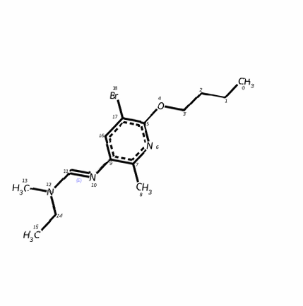 CCCCOc1nc(C)c(/N=C/N(C)CC)cc1Br